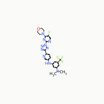 CN(C)c1cc(Nc2ccc(-c3nnn(-c4ncc(F)c(N5CCOCC5)n4)n3)nc2)cc(C(F)(F)F)c1